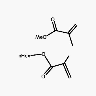 C=C(C)C(=O)OC.C=C(C)C(=O)OCCCCCC